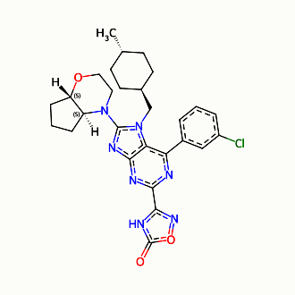 C[C@H]1CC[C@H](Cn2c(N3CCO[C@H]4CCC[C@@H]43)nc3nc(-c4noc(=O)[nH]4)nc(-c4cccc(Cl)c4)c32)CC1